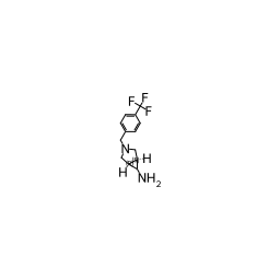 NC1[C@H]2CN(Cc3ccc(C(F)(F)F)cc3)C[C@@H]12